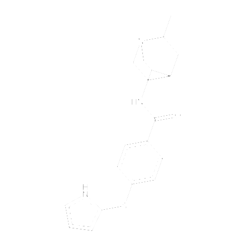 CC1CC2CCN1CC2NC(=O)c1ccc(Sc2ccc[nH]2)cc1